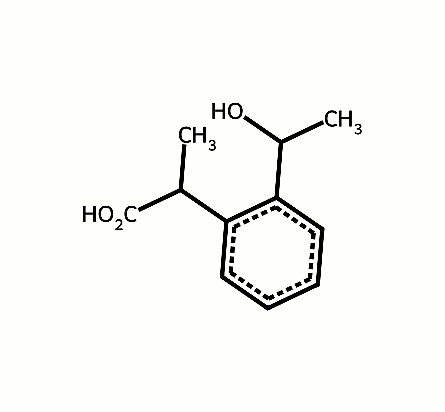 CC(O)c1ccccc1C(C)C(=O)O